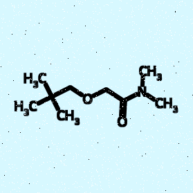 CN(C)C(=O)COCC(C)(C)C